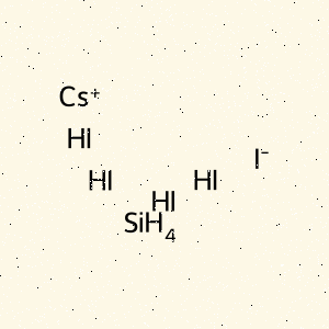 I.I.I.I.[Cs+].[I-].[SiH4]